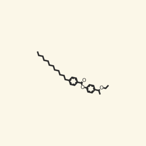 CCCCCCCCCCCCc1ccc(C(=O)Oc2ccc(C(C)OCC)cc2)cc1